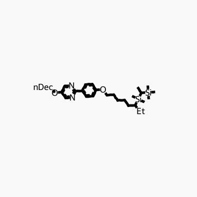 CCCCCCCCCCOc1cnc(-c2ccc(OCCCCCC(CC)[Si](C)(C)C(C)[Si](C)(C)C)cc2)nc1